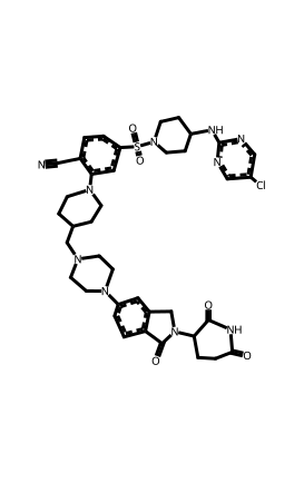 N#Cc1ccc(S(=O)(=O)N2CCC(Nc3ncc(Cl)cn3)CC2)cc1N1CCC(CN2CCN(c3ccc4c(c3)CN(C3CCC(=O)NC3=O)C4=O)CC2)CC1